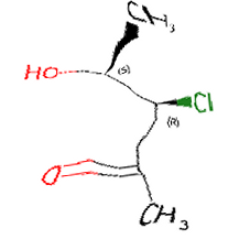 CC(=O)[C@H](Cl)[C@H](C)O